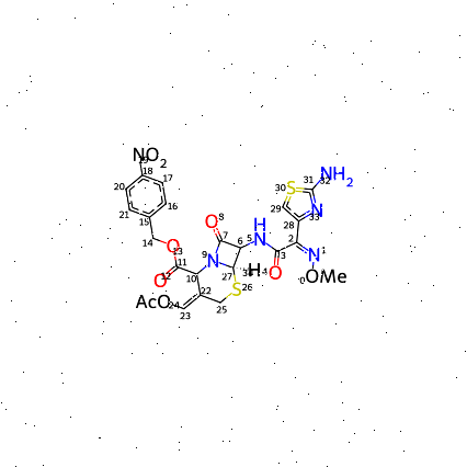 CO/N=C(\C(=O)NC1C(=O)N2C(C(=O)OCc3ccc([N+](=O)[O-])cc3)/C(=C\OC(C)=O)CS[C@H]12)c1csc(N)n1